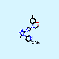 COc1ccc(-n2c(C)nnc2N2CC(N3CCOc4cc(C)ccc43)C2)cn1